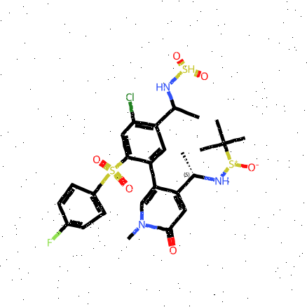 CC(N[SH](=O)=O)c1cc(-c2cn(C)c(=O)cc2[C@H](C)N[S+]([O-])C(C)(C)C)c(S(=O)(=O)c2ccc(F)cc2)cc1Cl